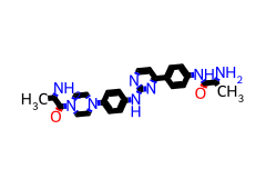 CC(N)C(=O)Nc1ccc(-c2ccnc(Nc3ccc(N4CCN(C(=O)C(C)N)CC4)cc3)n2)cc1